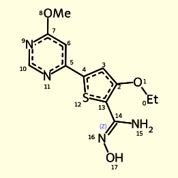 CCOc1cc(-c2cc(OC)ncn2)sc1/C(N)=N/O